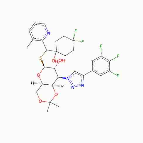 Cc1cccnc1C(S[C@@H]1O[C@@H]2COC(C)(C)O[C@@H]2[C@H](n2cc(-c3cc(F)c(F)c(F)c3)nn2)[C@H]1O)C1(O)CCC(F)(F)CC1